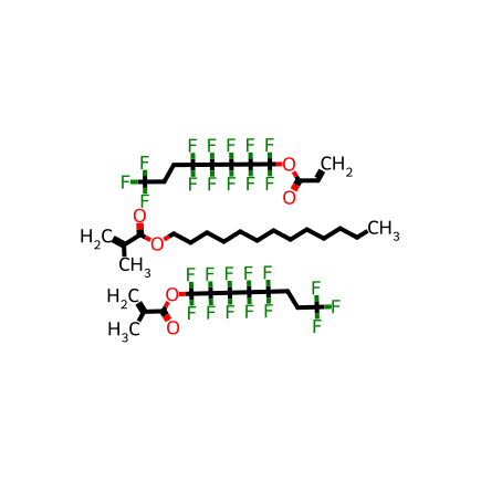 C=C(C)C(=O)OC(F)(F)C(F)(F)C(F)(F)C(F)(F)C(F)(F)CCC(F)(F)F.C=C(C)C(=O)OCCCCCCCCCCCCC.C=CC(=O)OC(F)(F)C(F)(F)C(F)(F)C(F)(F)C(F)(F)CCC(F)(F)F